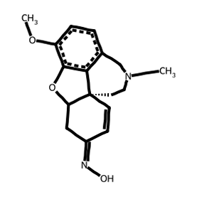 COc1ccc2c3c1OC1C/C(=N/O)C=C[C@]31CCN(C)C2